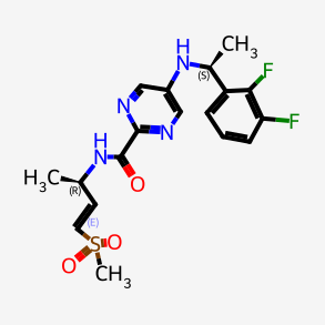 C[C@H](/C=C/S(C)(=O)=O)NC(=O)c1ncc(N[C@@H](C)c2cccc(F)c2F)cn1